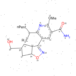 CCCCCC(C)c1nc(OC)c(C(N)=O)cc1C1=NOC2CC(CO)CC12